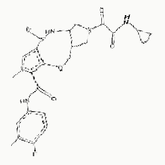 Cc1cc(NC(=O)c2c3c(cn2C)[S+]([O-])NC2CN(C(=O)C(=O)NC4CC4)CC2CO3)ccc1F